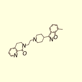 Cc1cccc2c(C3CCN(CCN4CCc5cccnc5C4=O)CC3)noc12